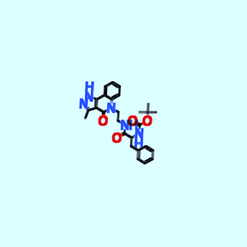 Cc1n[nH]c2c1c(=O)n(CCNC(=O)C(Cc1ccccc1)NC(=O)OC(C)(C)C)c1ccccc21